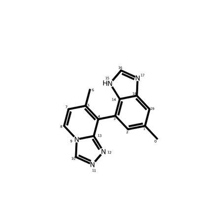 Cc1cc(-c2c(C)ccn3cnnc23)c2[nH]cnc2c1